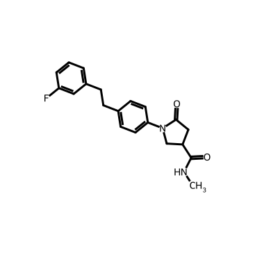 CNC(=O)C1CC(=O)N(c2ccc(CCc3cccc(F)c3)cc2)C1